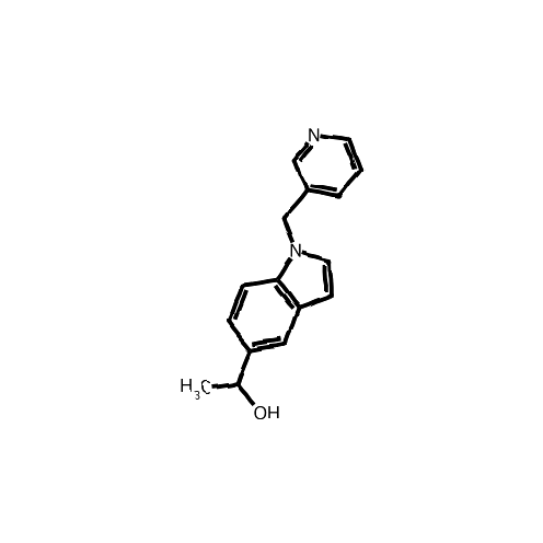 CC(O)c1ccc2c(ccn2Cc2cccnc2)c1